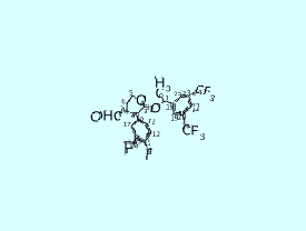 CC(O[C@H]1OCC[C@@H](C=O)[C@@H]1c1ccc(F)c(F)c1)c1cc(C(F)(F)F)cc(C(F)(F)F)c1